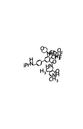 CCN(c1cc(-c2ccc(CNC(C)C)cc2)cc(C(=O)NCc2c(C)cc(C)[nH]c2=O)c1C)C1CCOCC1.O=C(O)C(F)(F)F